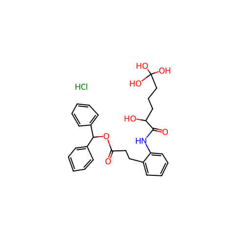 Cl.O=C(CCc1ccccc1NC(=O)C(O)CCCC(O)(O)O)OC(c1ccccc1)c1ccccc1